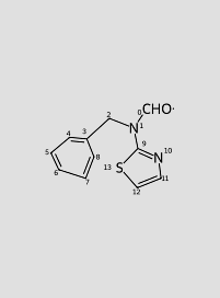 O=[C]N(Cc1ccccc1)c1nccs1